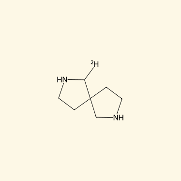 [2H]C1NCCC12CCNC2